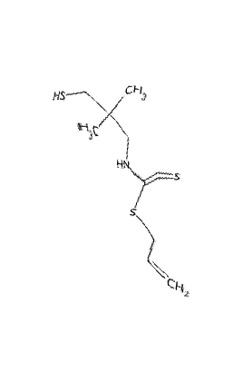 C=CCSC(=S)NCC(C)(C)CS